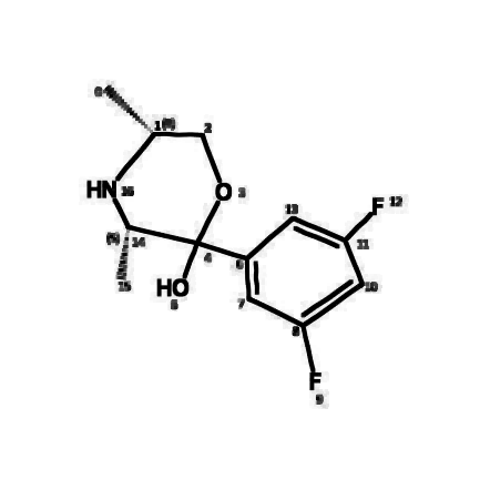 C[C@@H]1COC(O)(c2cc(F)cc(F)c2)[C@H](C)N1